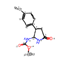 COc1ccc(C2CC(=O)NC2NC(=O)OC(C)(C)C)cc1